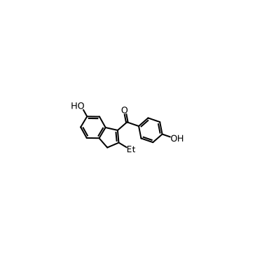 CCC1=C(C(=O)c2ccc(O)cc2)c2cc(O)ccc2C1